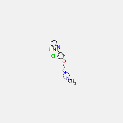 CN1CCN(CCCOc2ccc(-c3nc4ccccc4[nH]3)c(Cl)c2)CC1